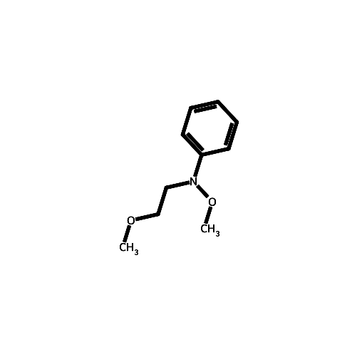 COCCN(OC)c1ccccc1